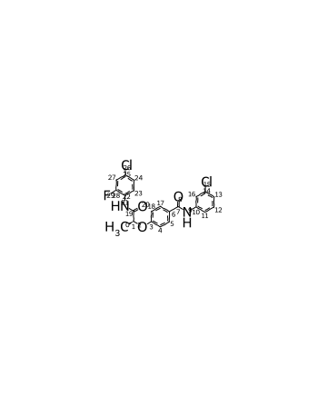 C[C@H](Oc1ccc(C(=O)Nc2cccc(Cl)c2)cc1)C(=O)Nc1ccc(Cl)cc1F